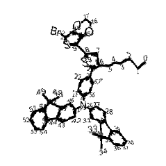 CCCCCCc1cc(-c2sc(Br)c3c2OCCO3)sc1-c1ccc(N(c2ccc3c(c2)C(C)(C)c2ccccc2-3)c2ccc3c(c2)C(C)(C)c2ccccc2-3)cc1